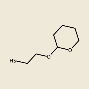 SCCOC1CCCCO1